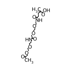 CC(=O)COCCOCCNC(=O)COCCOCCNC(=O)CC[C@H](C)C(=O)O